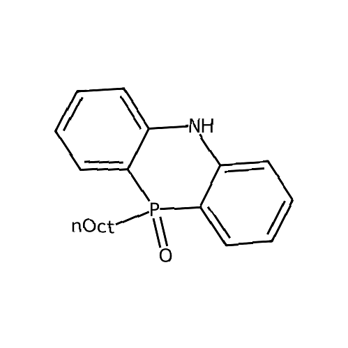 CCCCCCCCP1(=O)c2ccccc2Nc2ccccc21